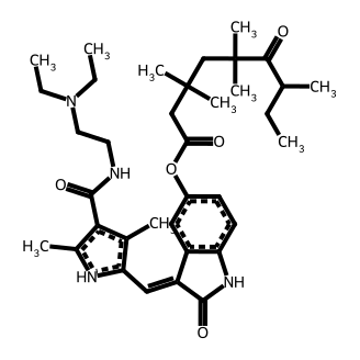 CCC(C)C(=O)C(C)(C)CC(C)(C)CC(=O)Oc1ccc2c(c1)/C(=C\c1[nH]c(C)c(C(=O)NCCN(CC)CC)c1C)C(=O)N2